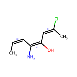 C\C=C/C(N)=C(O)\C=C(/C)Cl